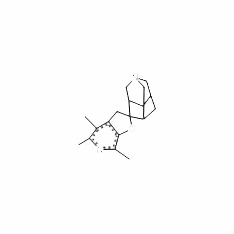 Cc1nc(C)c2c(c1C)CC1(O2)C2CC3CC1CN(C3)C2